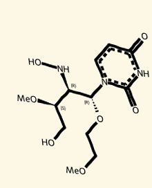 COCCO[C@H]([C@H](NO)[C@@H](CO)OC)n1ccc(=O)[nH]c1=O